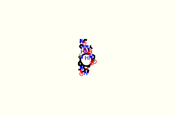 C=CC(=O)N(C)C[C@H]1CCN(C(=O)N(C)[C@H](C(=O)N[C@H]2Cc3nc(cs3)-c3ccc4c(c3)c(c(-c3cccnc3[C@H](C)OC)n4CC)CC(C)(C)COC(=O)[C@@H]3CCCN(N3)C2=O)C(C)C)C1